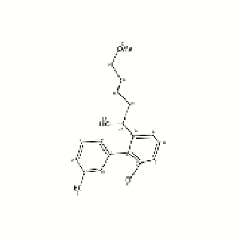 CCc1cccc(-c2c(Cl)cccc2C(O)CCCCOC)c1